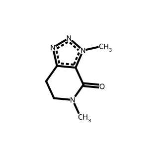 CN1CCc2nnn(C)c2C1=O